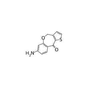 Nc1ccc2c(c1)OCc1ccsc1C2=O